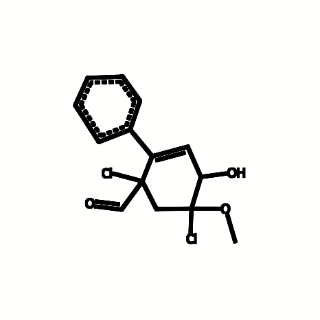 COC1(Cl)CC(Cl)(C=O)C(c2ccccc2)=CC1O